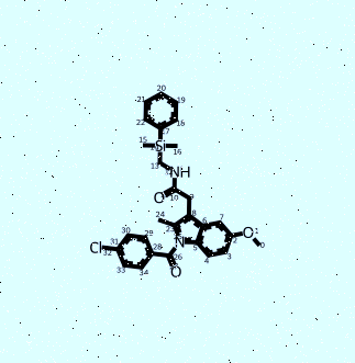 COc1ccc2c(c1)c(CC(=O)NC[Si](C)(C)c1ccccc1)c(C)n2C(=O)c1ccc(Cl)cc1